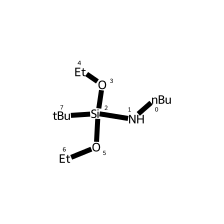 CCCCN[Si](OCC)(OCC)C(C)(C)C